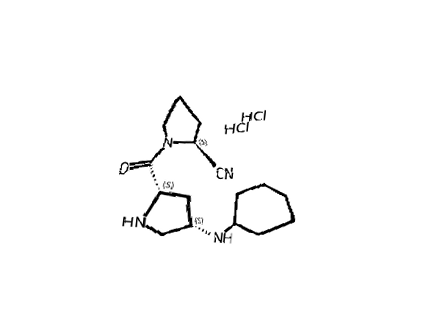 Cl.Cl.N#C[C@@H]1CCCN1C(=O)[C@@H]1C[C@H](NC2CCCCC2)CN1